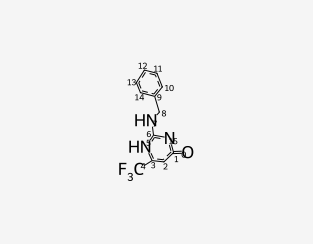 O=c1cc(C(F)(F)F)[nH]c(NCc2ccccc2)n1